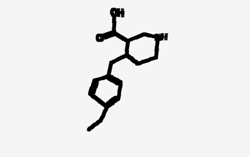 CCc1ccc(CC2CCNCC2C(=O)O)cc1